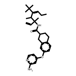 C=CC(C)(NC(=O)C1CCc2ccc(Oc3ccnc(N)c3)cc2C1)C(C)/C(=C\CC)C(C)(C)C